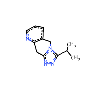 CC(C)c1nnc2n1Cc1cccnc1C2